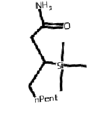 CCCCCCC(CC(N)=O)[Si](C)(C)C